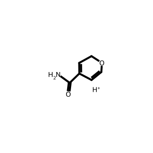 NC(=O)C1=CCOC=C1.[H+]